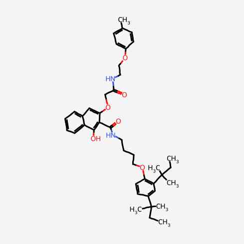 CCC(C)(C)c1ccc(OCCCCNC(=O)c2c(OCC(=O)NCCOc3ccc(C)cc3)cc3ccccc3c2O)c(C(C)(C)CC)c1